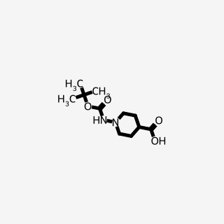 CC(C)(C)OC(=O)NN1CCC(C(=O)O)CC1